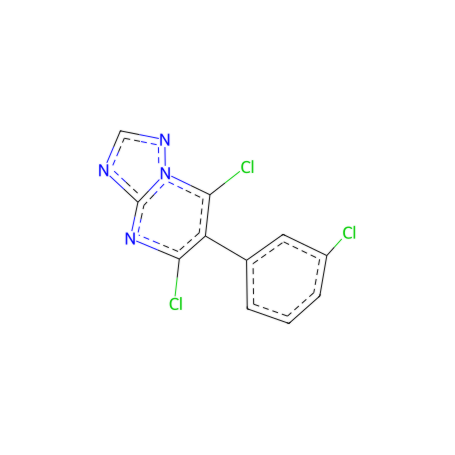 Clc1cccc(-c2c(Cl)nc3ncnn3c2Cl)c1